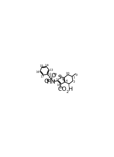 CC1CCc2c(sc(NS(=O)(=O)c3ccccc3)c2C(=O)O)C1